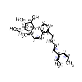 C=N/C=N\c1c(CN/N=C/C(/C=C\C)=C/C)ncn1[C@@H]1O[C@H](CO)[C@H](O)C1O